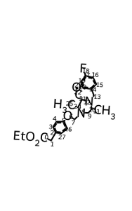 CCOC(=O)Cc1ccc(OCN2C[C@@H](C)N(Cc3ccc(F)cc3)C(=C=O)[C@@H]2C)cc1